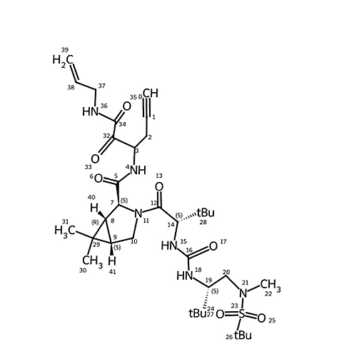 C#CCC(NC(=O)[C@@H]1[C@@H]2[C@H](CN1C(=O)[C@@H](NC(=O)N[C@H](CN(C)S(=O)(=O)C(C)(C)C)C(C)(C)C)C(C)(C)C)C2(C)C)C(=O)C(=O)NCC=C